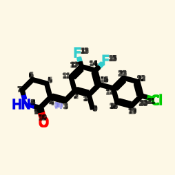 Cc1c(/C=C2\CCCNC2=O)cc(F)c(F)c1-c1ccc(Cl)cc1